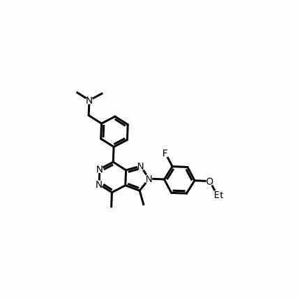 CCOc1ccc(-n2nc3c(-c4cccc(CN(C)C)c4)nnc(C)c3c2C)c(F)c1